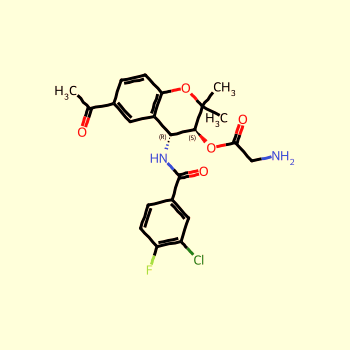 CC(=O)c1ccc2c(c1)[C@@H](NC(=O)c1ccc(F)c(Cl)c1)[C@H](OC(=O)CN)C(C)(C)O2